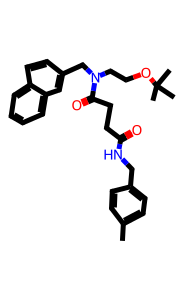 Cc1ccc(CNC(=O)CCC(=O)N(CCOC(C)(C)C)Cc2ccc3ccccc3c2)cc1